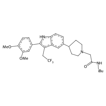 CCC(C)NC(=O)CN1CCC(c2ccc3[nH]c(-c4ccc(OC)c(OC)c4)c(CC(F)(F)F)c3c2)CC1